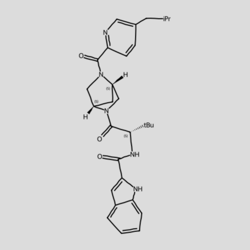 CC(C)Cc1ccc(C(=O)N2C[C@@H]3C[C@H]2CN3C(=O)[C@@H](NC(=O)c2cc3ccccc3[nH]2)C(C)(C)C)nc1